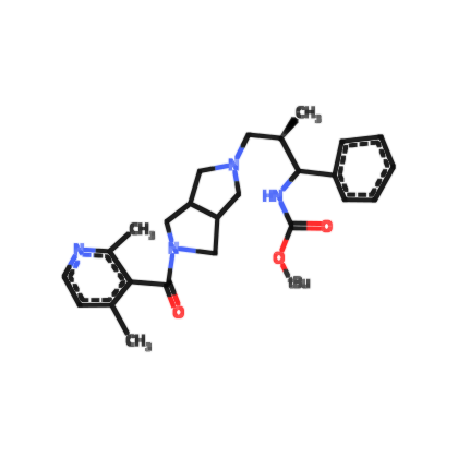 Cc1ccnc(C)c1C(=O)N1CC2CN(C[C@@H](C)C(NC(=O)OC(C)(C)C)c3ccccc3)CC2C1